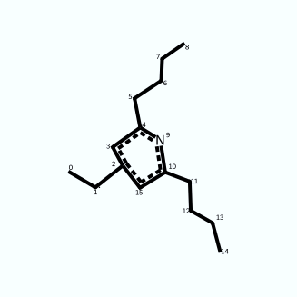 C[CH]c1cc(CCCC)nc(CCCC)c1